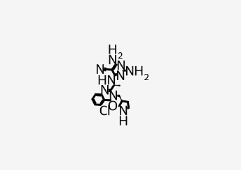 C[C@H](Nc1nc(N)nc(N)c1C#N)c1nc2cccc(Cl)c2c(=O)n1C[C@H]1CCNC1